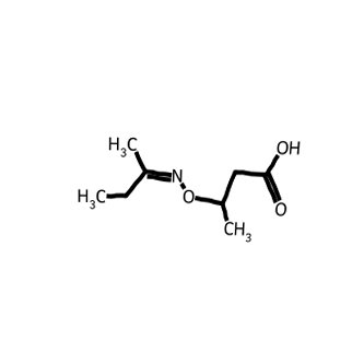 CC/C(C)=N\OC(C)CC(=O)O